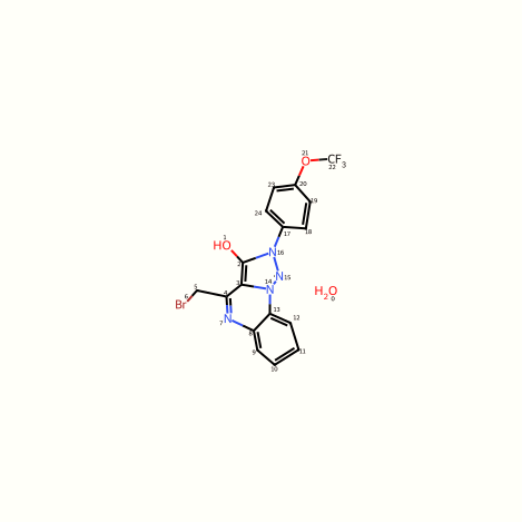 O.OC1=C2C(CBr)=Nc3ccccc3N2[N]N1c1ccc(OC(F)(F)F)cc1